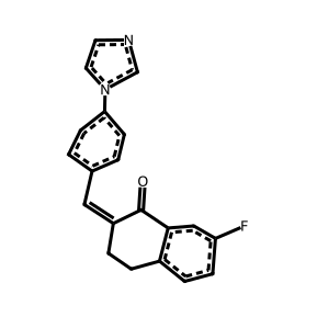 O=C1C(=Cc2ccc(-n3ccnc3)cc2)CCc2ccc(F)cc21